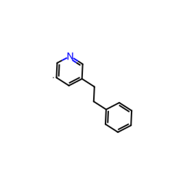 [c]1cncc(CCc2ccccc2)c1